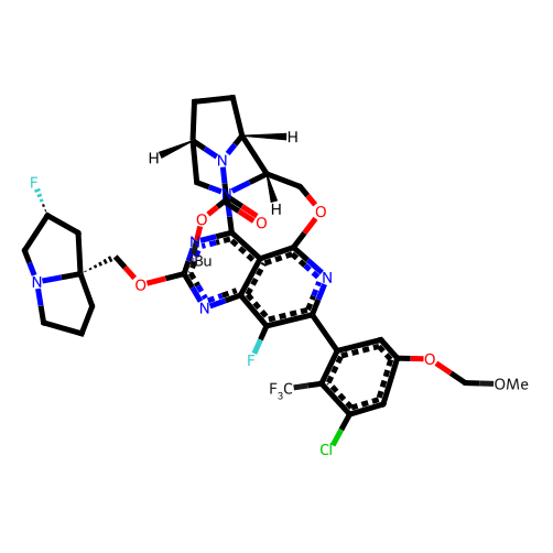 COCOc1cc(Cl)c(C(F)(F)F)c(-c2nc3c4c(nc(OC[C@]56CCCN5C[C@H](F)C6)nc4c2F)N2C[C@@H]4CC[C@H]([C@@H]2CO3)N4C(=O)OC(C)(C)C)c1